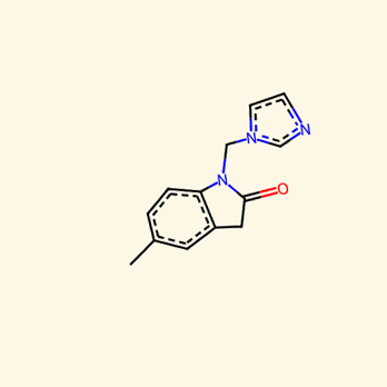 Cc1ccc2c(c1)CC(=O)N2Cn1ccnc1